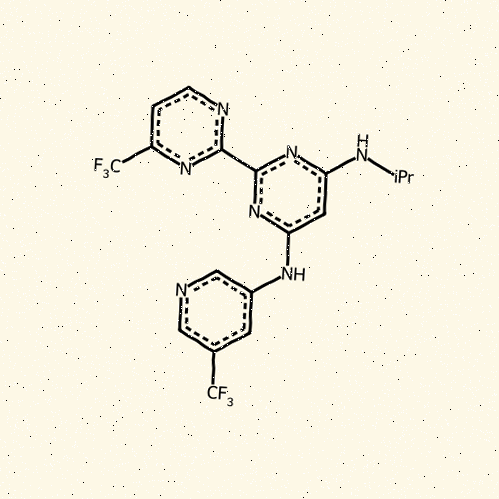 CC(C)Nc1cc(Nc2cncc(C(F)(F)F)c2)nc(-c2nccc(C(F)(F)F)n2)n1